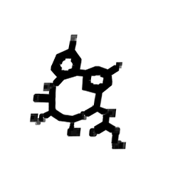 C[C@@H]1C[C@@H](O)C[C@H](NC(=O)OC(C)(C)C)c2cc(F)cc(c2)-c2cc(F)ccc2NC1=O